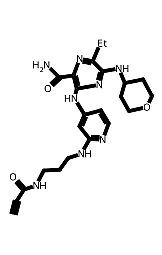 C#CC(=O)NCCCNc1cc(Nc2nc(NC3CCOCC3)c(CC)nc2C(N)=O)ccn1